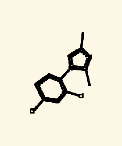 Cc1cn(-c2ccc(Cl)cc2Cl)c(C)n1